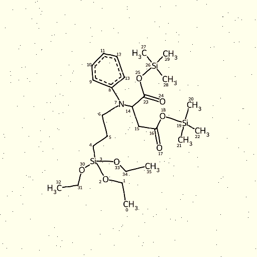 CCO[Si](CCCN(c1ccccc1)C(CC(=O)O[Si](C)(C)C)C(=O)O[Si](C)(C)C)(OCC)OCC